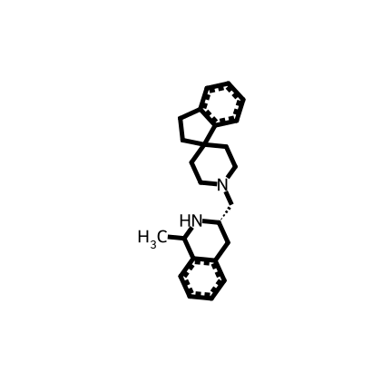 CC1N[C@H](CN2CCC3(CCc4ccccc43)CC2)Cc2ccccc21